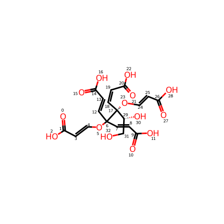 O=C(O)C=COC(C=CC(=O)O)(C=CC(=O)O)[C@](C=CC(=O)O)(OC=CC(=O)O)[C@H](O)CO